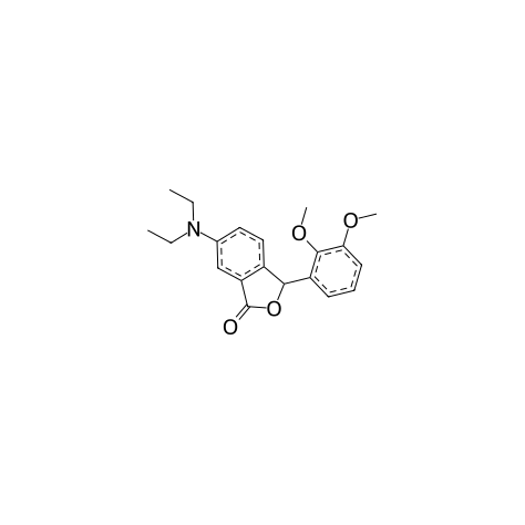 CCN(CC)c1ccc2c(c1)C(=O)OC2c1cccc(OC)c1OC